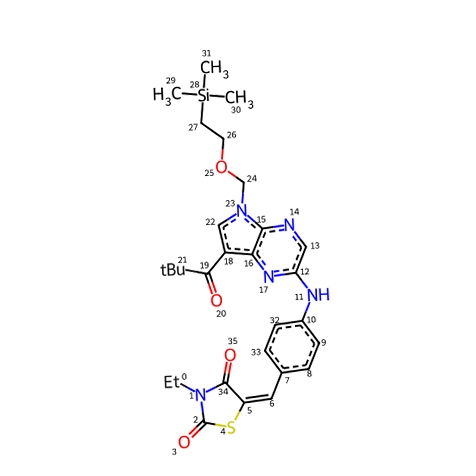 CCN1C(=O)SC(=Cc2ccc(Nc3cnc4c(n3)c(C(=O)C(C)(C)C)cn4COCC[Si](C)(C)C)cc2)C1=O